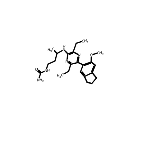 CCc1nc(-c2cc3c(cc2OC)CCC3)c(CC)nc1NC(C)CCNC(N)=O